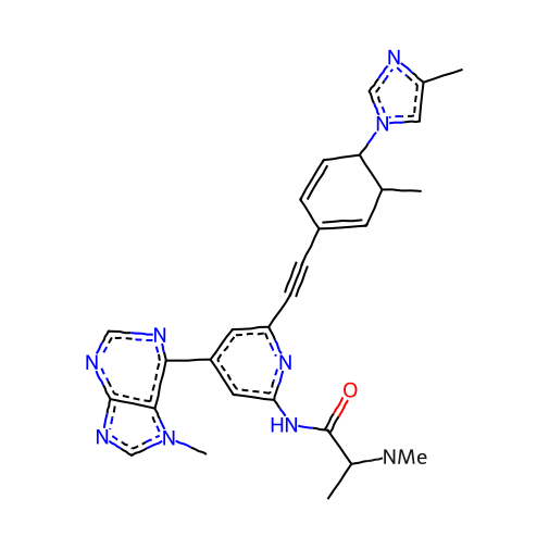 CNC(C)C(=O)Nc1cc(-c2ncnc3ncn(C)c23)cc(C#CC2=CC(C)C(n3cnc(C)c3)C=C2)n1